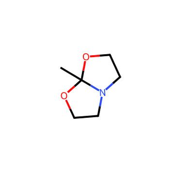 CC12OCCN1CCO2